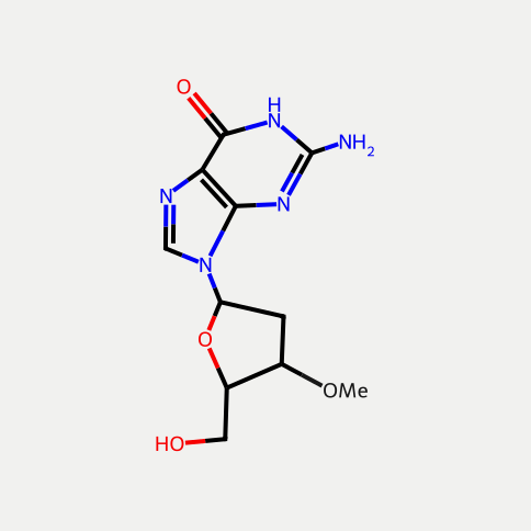 COC1CC(n2cnc3c(=O)[nH]c(N)nc32)OC1CO